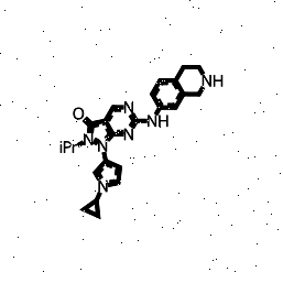 CC(C)n1c(=O)c2cnc(Nc3ccc4c(c3)CNCC4)nc2n1-c1ccn(C2CC2)c1